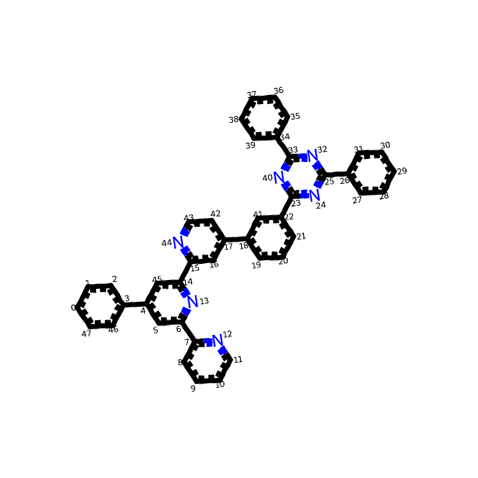 c1ccc(-c2cc(-c3ccccn3)nc(-c3cc(-c4cccc(-c5nc(-c6ccccc6)nc(-c6ccccc6)n5)c4)ccn3)c2)cc1